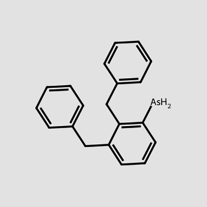 [AsH2]c1cccc(Cc2ccccc2)c1Cc1ccccc1